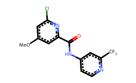 COc1cc(Cl)nc(C(=O)Nc2ccnc(C(F)(F)F)c2)c1